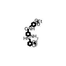 CCS(=O)(=O)c1ccc(CNC(=O)c2ccc(NCc3cccc4c3OC(F)(F)O4)c(N)c2)cc1